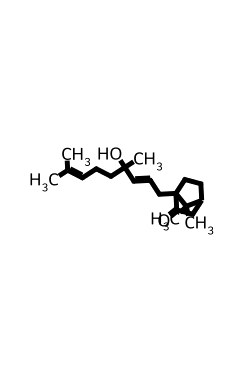 CC(C)=CCCC(C)(O)C=CCC12CCC(CC1=O)C2(C)C